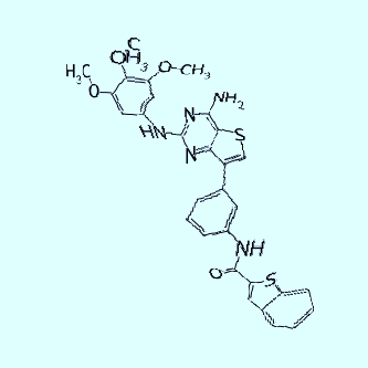 COc1cc(Nc2nc(N)c3scc(-c4cccc(NC(=O)c5cc6ccccc6s5)c4)c3n2)cc(OC)c1OC